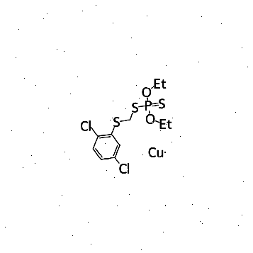 CCOP(=S)(OCC)SCSc1cc(Cl)ccc1Cl.[Cu]